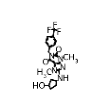 Cn1c(N[C@@H]2CC[C@@H](O)C2)nc2c1c(=O)n(Cc1ccc(C(F)(F)F)cc1)c(=O)n2C